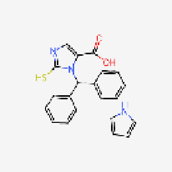 O=C(O)c1cnc(S)n1C(c1ccccc1)c1ccccc1.c1cc[nH]c1